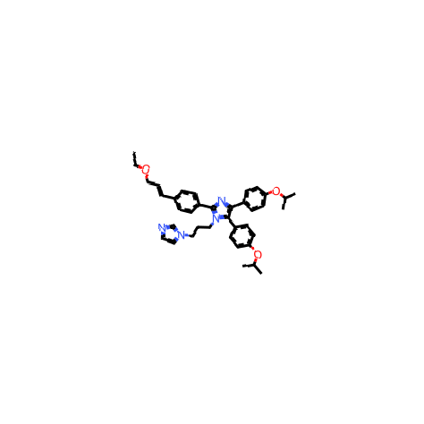 CCOC/C=C/c1ccc(-c2nc(-c3ccc(OC(C)C)cc3)c(-c3ccc(OC(C)C)cc3)n2CCCn2ccnc2)cc1